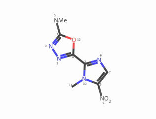 CNc1nnc(-c2ncc([N+](=O)[O-])n2C)o1